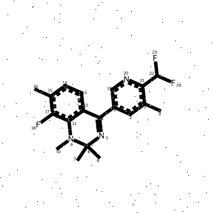 Cc1cc(C2=NC(C)(C)N(C)c3c2ccc(C)c3F)cnc1C(F)F